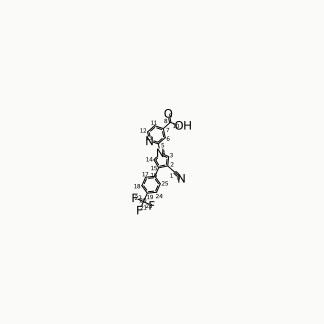 N#Cc1cn(-c2cc(C(=O)O)ccn2)cc1-c1ccc(C(F)(F)F)cc1